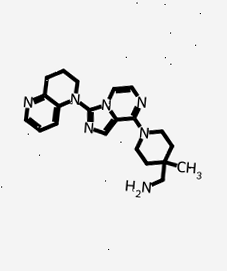 CC1(CN)CCN(c2nccn3c(N4CCCc5ncccc54)ncc23)CC1